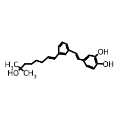 CC(C)(O)CCCCC=Cc1cccc(C=Cc2ccc(O)c(O)c2)c1